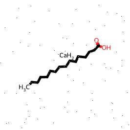 CCCCCCCCCCCCCCCC(=O)O.[CaH2]